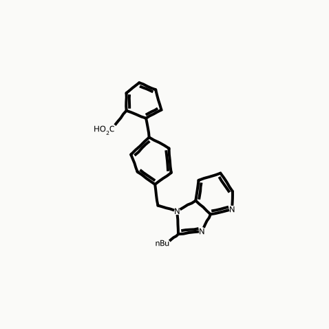 CCCCc1nc2ncccc2n1Cc1ccc(-c2ccccc2C(=O)O)cc1